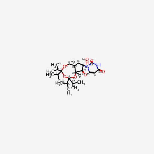 CC(C)C1(C(C)C)OC[C@H]2C[C@@](CO)(n3ccc(=O)[nH]c3=O)C(=O)[C@@H]2OC(C(C)C)(C(C)C)O1